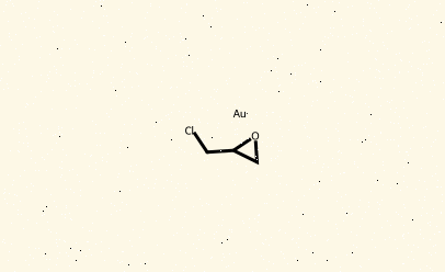 ClCC1CO1.[Au]